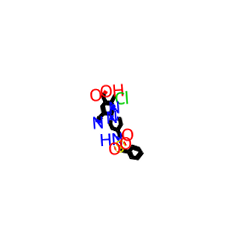 N#Cc1cc(C(=O)O)c(CCl)nc1N1CCC(C(=O)NS(=O)(=O)Cc2ccccc2)CC1